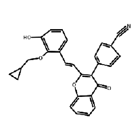 N#Cc1ccc(-c2c(/C=C/c3cccc(O)c3OCC3CC3)oc3ccccc3c2=O)cc1